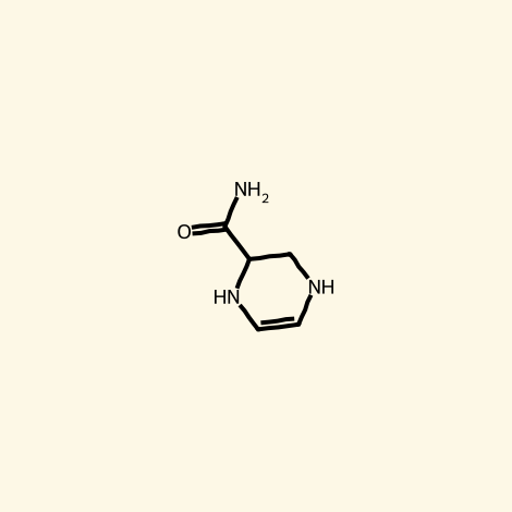 NC(=O)C1CNC=CN1